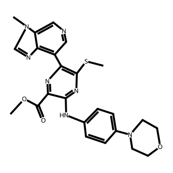 COC(=O)c1nc(-c2cncc3c2ncn3C)c(SC)nc1Nc1ccc(N2CCOCC2)cc1